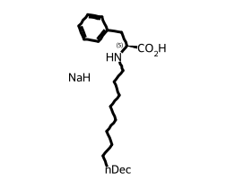 CCCCCCCCCCCCCCCCCCN[C@@H](Cc1ccccc1)C(=O)O.[NaH]